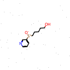 [O-][S+](CCCCCO)c1cccnc1